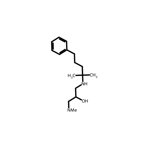 CNCC(O)CNC(C)(C)CCCc1ccccc1